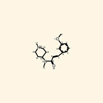 COc1cccc(C=CC(=O)N(C)C2CCN(C)CC2)c1